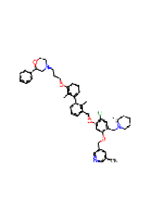 Cc1c(COc2cc(OCc3cncc(C#N)c3)c(CN3CCCC[C@H]3C)cc2Cl)cccc1-c1cccc(OCCCN2CCOC(c3ccccc3)C2)c1C